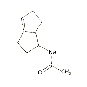 CC(=O)NC1CCC2=CCCC21